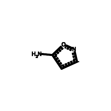 Nc1c[c]no1